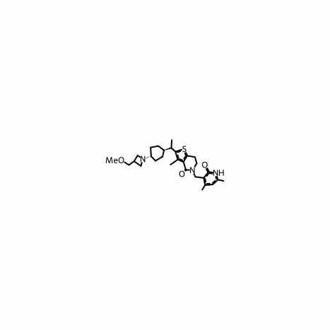 COCC1CN([C@H]2CC[C@H](C(C)c3sc4c(c3C)C(=O)N(Cc3c(C)cc(C)[nH]c3=O)CC4)CC2)C1